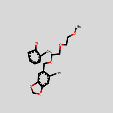 CCCCOCCOCCOCc1cc2c(cc1CCC)OCO2.Cc1ccccc1O